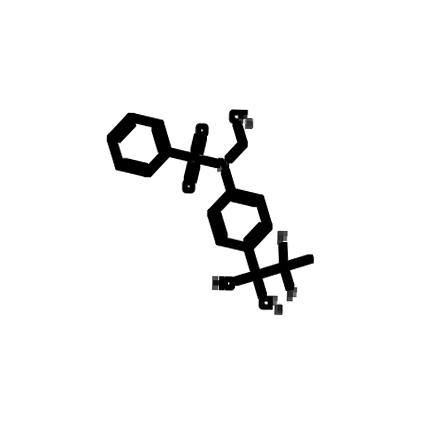 CC(F)(F)C(O)(c1ccc(N(CC(F)(F)F)S(=O)(=O)c2ccccc2)cc1)C(F)(F)F